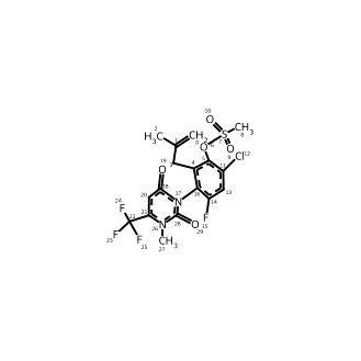 C=C(C)Cc1c(OS(C)(=O)=O)c(Cl)cc(F)c1-n1c(=O)cc(C(F)(F)F)n(C)c1=O